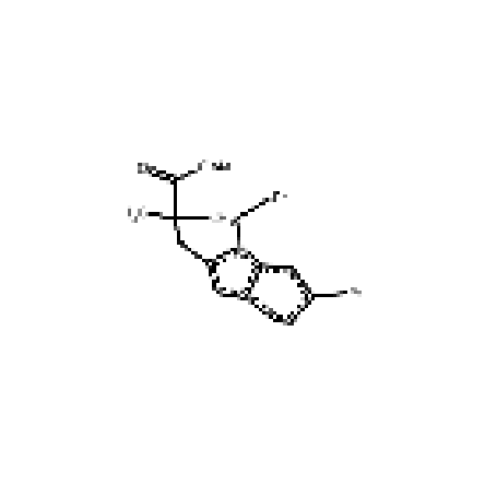 COC(=O)C(C)(C)Cc1cc2ccc(C(C)C)cc2n1CC(C)C